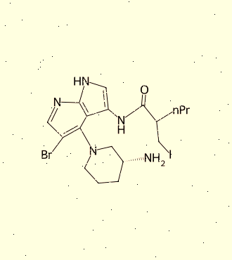 CCCC(CI)C(=O)Nc1c[nH]c2ncc(Br)c(N3CCC[C@@H](N)C3)c12